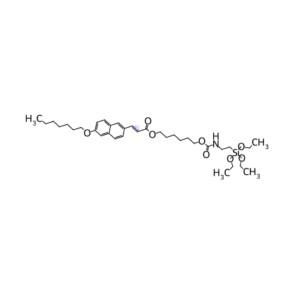 CCCCCCCOc1ccc2cc(/C=C/C(=O)OCCCCCCOC(=O)NCC[Si](OCC)(OCC)OCC)ccc2c1